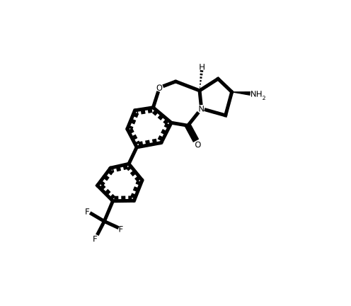 N[C@@H]1C[C@@H]2COc3ccc(-c4ccc(C(F)(F)F)cc4)cc3C(=O)N2C1